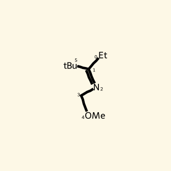 CC/C(=N/COC)C(C)(C)C